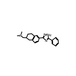 CN(C)CC1CCc2cc(-c3n[nH]c(-c4ccccc4)n3)ccc2C1